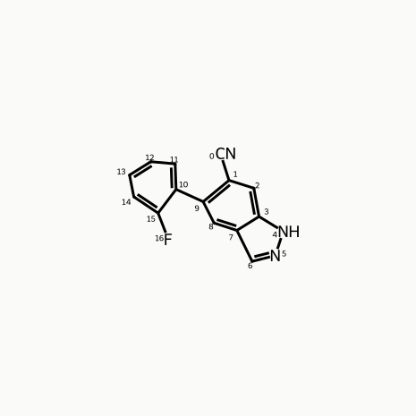 N#Cc1cc2[nH]ncc2cc1-c1ccccc1F